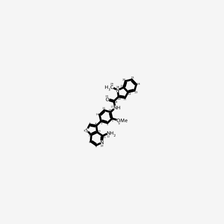 COc1cc(-c2csc3ccnc(N)c23)ccc1NC(=O)c1cc2ccccc2n1C